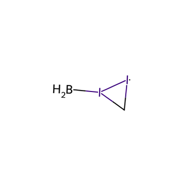 BI1C[I]1